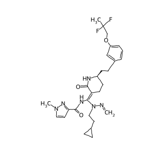 C=NN(CCC1CC1)/C(NC(=O)c1ccn(C)n1)=C1\CC[C@H](CCc2cccc(OCC(C)(F)F)c2)NC1=O